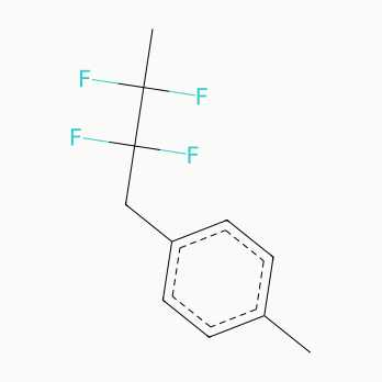 Cc1ccc(CC(F)(F)C(C)(F)F)cc1